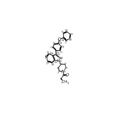 C=CC(=O)N1CCC(n2nc(-c3ccc(Oc4ccccc4)cc3)c3cnccc32)CC1